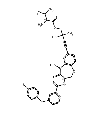 CC(C)[C@H](N)C(=O)OCC(C)(C)C#Cc1ccc2c(c1)N(C)C(=O)[C@H](NC(=O)c1cc(Oc3ccc(F)cc3)ccn1)CO2